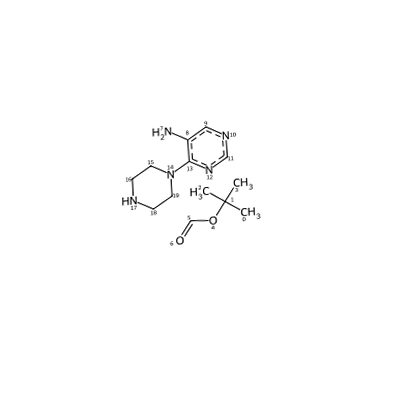 CC(C)(C)OC=O.Nc1cncnc1N1CCNCC1